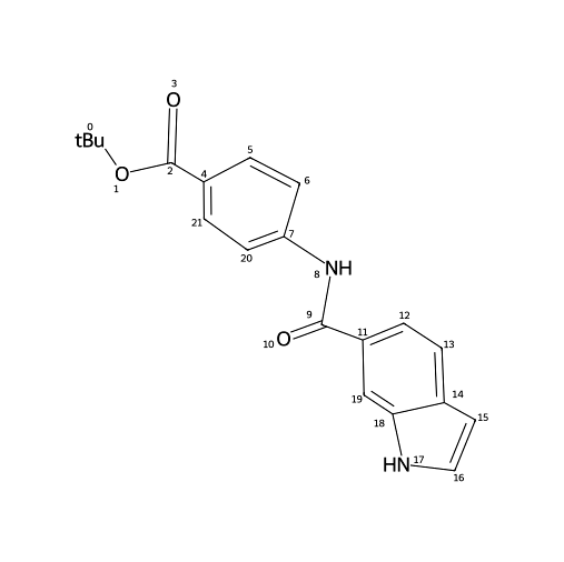 CC(C)(C)OC(=O)c1ccc(NC(=O)c2ccc3cc[nH]c3c2)cc1